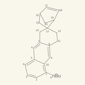 CCCCc1cccc2cc3c(cc12)CCC1(C3)CC2C=CC1C2